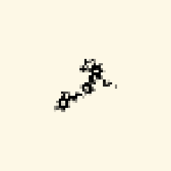 NC[C@@H]1O[C@H](C2CCN(CCCc3noc4cc(F)ccc34)CC2)Cc2c1ccc(O)c2O